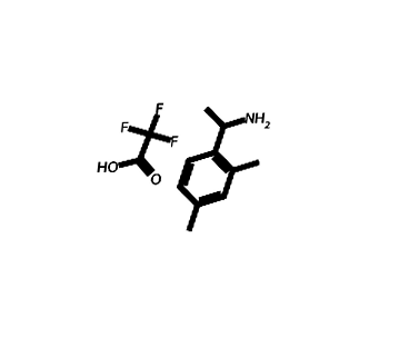 Cc1ccc(C(C)N)c(C)c1.O=C(O)C(F)(F)F